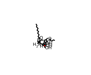 CCCCCCCCCC(=O)O[C@@]12CC[C@]34C=C(C)[C@H](OC(=O)CCC)[C@@]3(O)[C@H](O)C(CO)=C[C@H](C4=O)[C@]1(N)C2(C)C